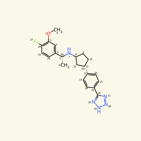 COc1cc([C@@H](C)NC2CC[C@H](c3ccc(-c4nn[nH]n4)cc3)C2)ccc1F